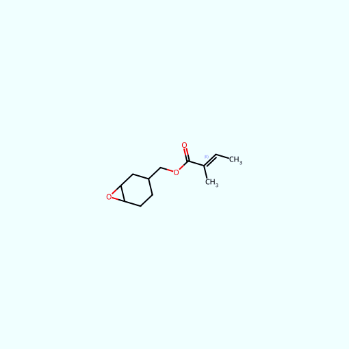 C/C=C(\C)C(=O)OCC1CCC2OC2C1